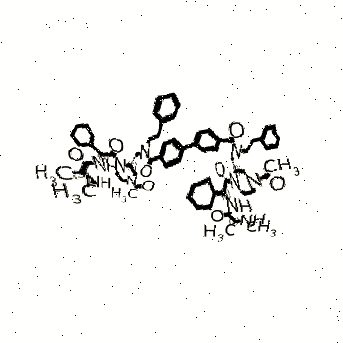 CN[C@@H](C)C(=O)N[C@H](C(=O)N1CCN(C(C)=O)C[C@H]1CN(CCc1ccccc1)C(=O)c1ccc(-c2ccc(C(=O)N(CCc3ccccc3)C[C@@H]3CN(C(C)=O)CCN3C(=O)[C@@H](NC(=O)[C@H](C)NC)C3CCCCC3)cc2)cc1)C1CCCCC1